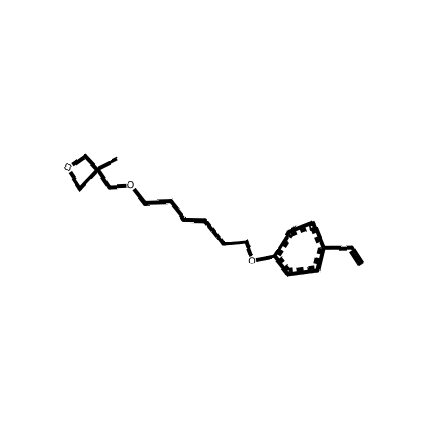 C=Cc1ccc(OCCCCCCOCC2(C)COC2)cc1